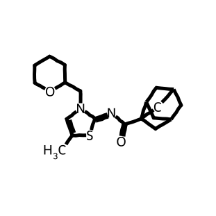 Cc1cn(CC2CCCCO2)/c(=N/C(=O)C23CC4CC(CC2C4)C3)s1